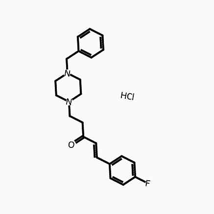 Cl.O=C(C=Cc1ccc(F)cc1)CCN1CCN(Cc2ccccc2)CC1